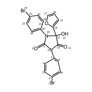 O=C1N(c2ccc(Br)cc2)C(=O)C(O)(c2ccco2)N1c1ccc(Br)cc1